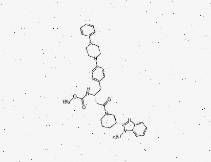 CCCCn1c([C@@H]2CCCN(C(=O)C[C@@H](Cc3ccc(N4CCN(c5ccccc5)CC4)cc3)NC(=O)OC(C)(C)C)C2)nc2ccccc21